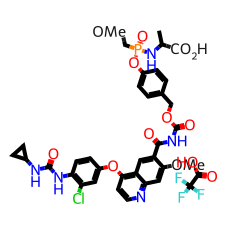 COCP(=O)(NC(C)C(=O)O)Oc1ccc(COC(=O)NC(=O)c2cc3c(Oc4ccc(NC(=O)NC5CC5)c(Cl)c4)ccnc3cc2OC)cc1.O=C(O)C(F)(F)F